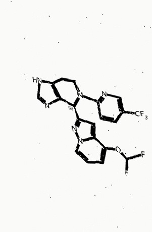 FC(F)Oc1cccn2nc([C@H]3c4nc[nH]c4CCN3c3ccc(C(F)(F)F)cn3)cc12